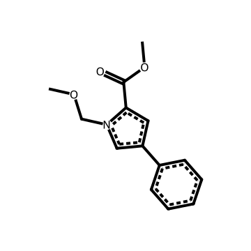 COCn1cc(-c2ccccc2)cc1C(=O)OC